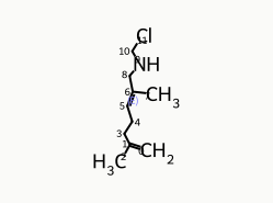 C=C(C)CC/C=C(\C)CNCCl